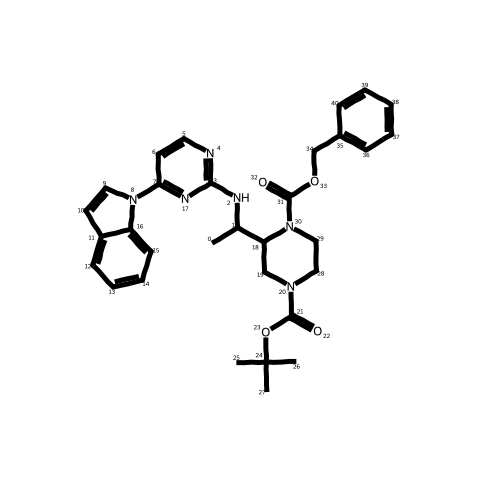 CC(Nc1nccc(-n2ccc3ccccc32)n1)C1CN(C(=O)OC(C)(C)C)CCN1C(=O)OCc1ccccc1